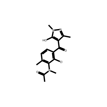 CC(=O)N(C)c1c(C)ccc(C(=O)c2c(C)nn(C)c2O)c1Cl